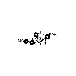 COc1ccc(NCCNC(=O)[C@H](Cc2ccc(-c3ccc(C#N)cc3)cc2)NC(=O)c2cccc(C)c2)cc1